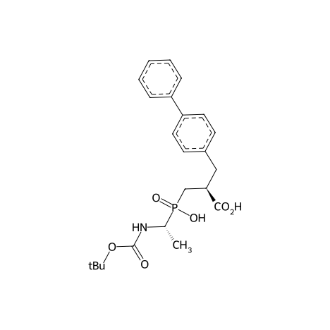 C[C@H](NC(=O)OC(C)(C)C)P(=O)(O)C[C@@H](Cc1ccc(-c2ccccc2)cc1)C(=O)O